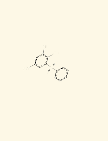 Nc1cc(N)c(O)c(S(=O)(=O)c2ccccc2)c1